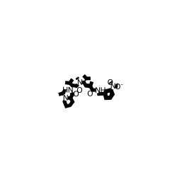 C/C(=C\[C@H](C(C)C)N(C)C(=O)[C@@H](NC(=O)C1CCCCN1C(C)C)C(C)C)C(=O)NCc1cccc([N+](=O)[O-])c1